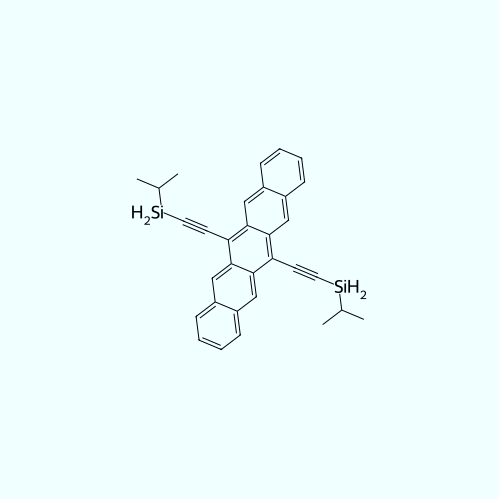 CC(C)[SiH2]C#Cc1c2cc3ccccc3cc2c(C#C[SiH2]C(C)C)c2cc3ccccc3cc12